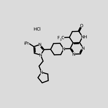 CC(C)c1cn(CCN2CCCC2)c(C2CCN(c3ncnc4c3C(C(F)(F)F)CC(=O)N4)CC2)n1.Cl